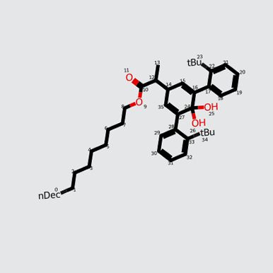 CCCCCCCCCCCCCCCCCCOC(=O)C(C)C1C=C(c2ccccc2C(C)(C)C)C(O)(O)C(c2ccccc2C(C)(C)C)=C1